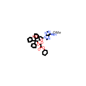 CONc1ncnc2c1ncn2[C@H]1C[C@H](O)[C@@H](C(OC(=O)C(=O)OC2CCCCC2)C(c2ccccc2)(c2ccccc2)c2ccccc2)O1